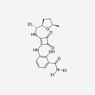 CC[C@@H](Nc1c(Nc2cccc(C(=O)N(CC)CC)c2O)c(=O)c1=O)[C@H]1CC[C@@H](C)O1